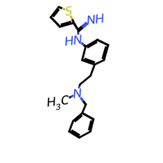 CN(CCc1cccc(NC(=N)c2cccs2)c1)Cc1ccccc1